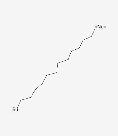 [CH2]CCCCCCCCCCCCCCCCCCCCC(C)CC